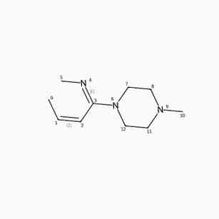 C/C=C\C(=N/C)N1CCN(C)CC1